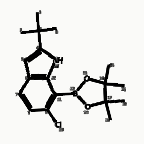 CC(C)(C)c1cc2ccc(Cl)c(B3OC(C)(C)C(C)(C)O3)c2[nH]1